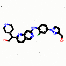 OCc1ccn(-c2ccc(Nc3cc4nc(C(CO)C5CCNCC5)ccc4cn3)c(F)c2)n1